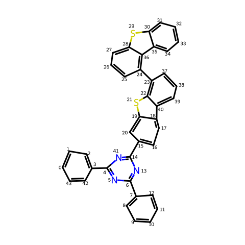 c1ccc(-c2nc(-c3ccccc3)nc(-c3ccc4c(c3)sc3c(-c5cccc6sc7ccccc7c56)cccc34)n2)cc1